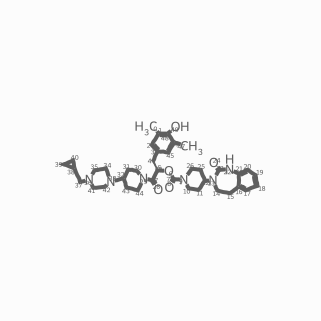 Cc1cc(C[C@@H](OC(=O)N2CCC(N3CCc4ccccc4NC3=O)CC2)C(=O)N2CCC(N3CCN(CC4CC4)CC3)CC2)cc(C)c1O